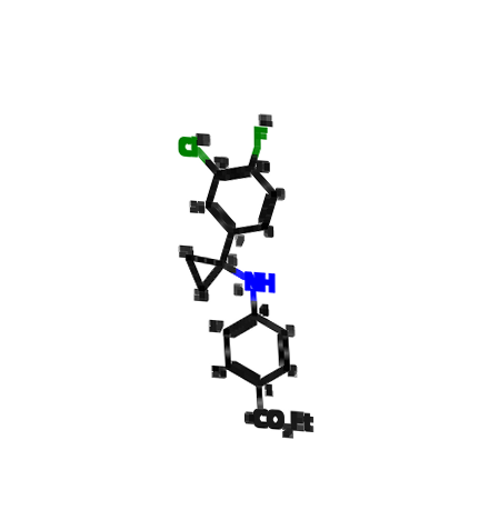 CCOC(=O)c1ccc(NC2(c3ccc(F)c(Cl)c3)CC2)cc1